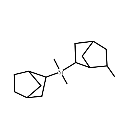 CC1CC2CC1C([Si](C)(C)C1CC3CCC1C3)C2